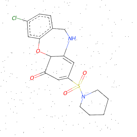 O=C1C=C(S(=O)(=O)N2CCCCC2)C=C2NCc3ccc(Cl)cc3OC12